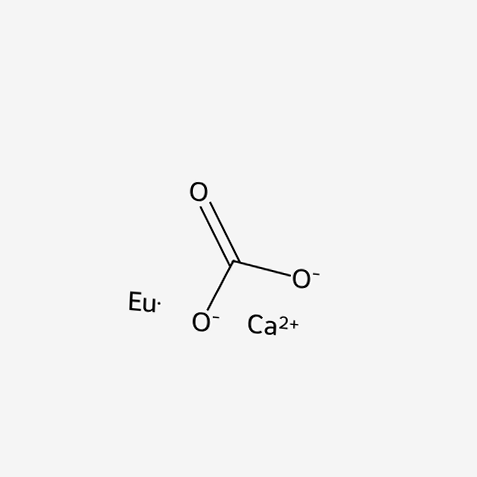 O=C([O-])[O-].[Ca+2].[Eu]